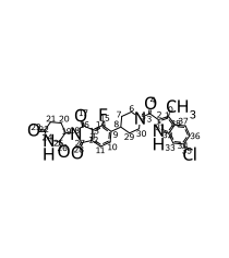 Cc1c(C(=O)N2CCC(c3ccc4c(c3F)C(=O)N(C3CCC(=O)NC3=O)C4=O)CC2)[nH]c2cc(Cl)ccc12